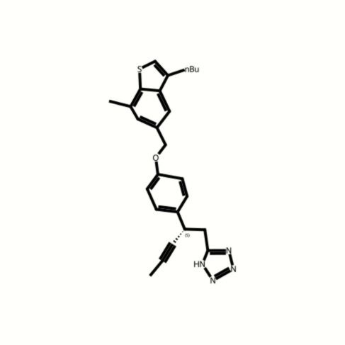 CC#C[C@@H](Cc1nnn[nH]1)c1ccc(OCc2cc(C)c3scc(CCCC)c3c2)cc1